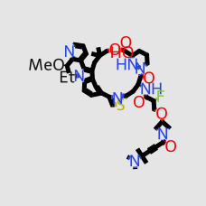 CCn1c(-c2cccnc2[C@H](C)OC)c2c3cc(ccc31)-c1csc(n1)C[C@H](NC(=O)[C@@H](F)COC1CN(C(=O)C#CC(C)(C)N(C)C)C1)C(=O)N1CCC[C@@](O)(N1)C(=O)OCC(C)(C)C2